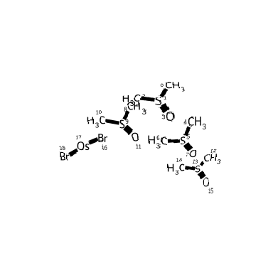 CS(C)=O.CS(C)=O.CS(C)=O.CS(C)=O.[Br][Os][Br]